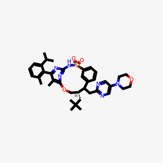 Cc1cccc(C(C)C)c1-c1nc2nc(c1C)OC[C@@H](CC(C)(C)C)C(Cc1ncc(N3CCOCC3)cn1)c1cccc(c1)S(=O)(=O)N2